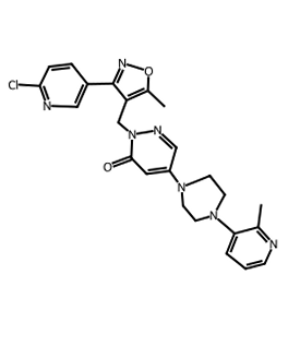 Cc1ncccc1N1CCN(c2cnn(Cc3c(-c4ccc(Cl)nc4)noc3C)c(=O)c2)CC1